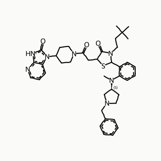 CN(c1ccccc1C1SC(CC(=O)N2CCC(n3c(=O)[nH]c4ncccc43)CC2)C(=O)N1CCC(C)(C)C)[C@H]1CCN(Cc2ccccc2)C1